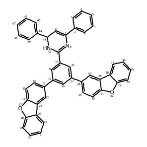 C1=C(c2ccccc2)N=C(c2cc(-c3ccc4oc5ccccc5c4c3)cc(-c3ccc4oc5ccccc5c4c3)c2)NC1c1ccccc1